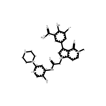 Cn1ccc2c(c(-c3cc(F)c(O)c(C(N)=O)c3)cn2CC(=O)Nc2cc(N3CCOCC3)ncc2Cl)c1=O